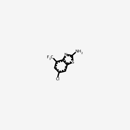 Nc1nc2c(C(F)(F)F)cc(Cl)cc2s1